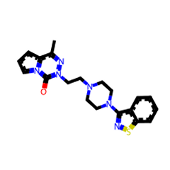 Cc1nn(CCN2CCN(c3nsc4ccccc34)CC2)c(=O)n2cccc12